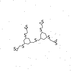 C(SCC1CC(SCC2CS2)CC(SCC2CS2)C1)C1CC(SCC2CS2)CC(SCC2CS2)C1